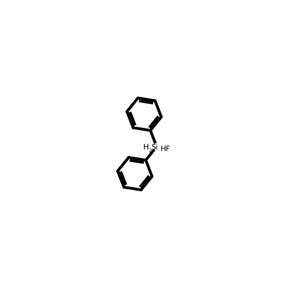 F.c1ccc([SiH2]c2ccccc2)cc1